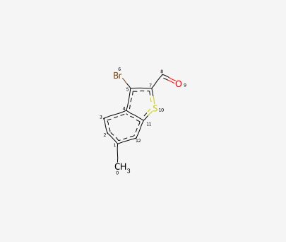 Cc1ccc2c(Br)c(C=O)sc2c1